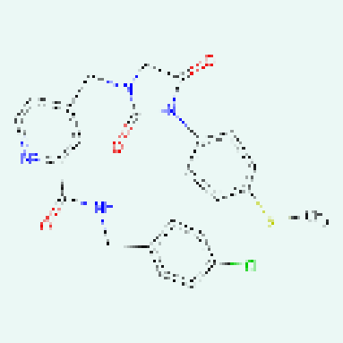 O=C(NCc1ccc(Cl)cc1)c1cc(CN2CC(=O)N(c3ccc(SC(F)(F)F)cc3)C2=O)ccn1